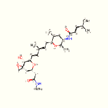 CNNC(=O)C[C@@H]1C[C@@]2(CO2)[C@H](O)[C@@H](/C=C/C(C)=C/C[C@@H]2O[C@H](C)[C@H](NC(=O)/C=C/C(C)OC(C)=O)C[C@@H]2C)O1